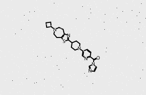 O=C(c1ccc(N2CCC(c3nc4c(s3)CCN(C3CCC3)CC4)CC2)cn1)n1ccnc1